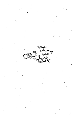 CC(C)(C)[C@H](NC(=O)N[C@H](CN1CCCC[S+]1[O-])C(C)(C)C)C(=O)N1CC2[C@@H]([C@H]1C(=O)NC(CC1CC1)C(=O)C(N)=O)C2(C)C